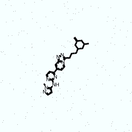 C=C1CC(C)CC(CCCc2nnc3cc(-c4ccnc(Nc5ccnn5C)n4)ccn23)C1